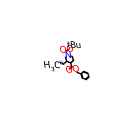 C/C=C/C1CN(C(=O)OC(C)(C)C)CCC1C(=O)OCc1ccccc1